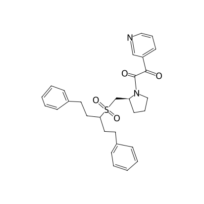 O=C(C(=O)N1CCC[C@H]1CS(=O)(=O)C(CCc1ccccc1)CCc1ccccc1)c1cccnc1